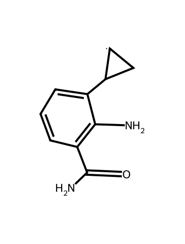 NC(=O)c1cccc(C2[CH]C2)c1N